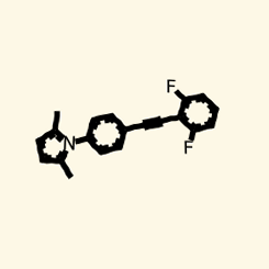 Cc1ccc(C)n1-c1ccc(C#Cc2c(F)cccc2F)cc1